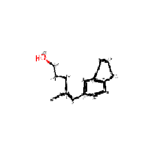 CC(=Cc1ccc2c(c1)CCC2)CCCO